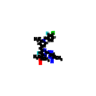 Cc1cc(Nc2nc(C[C@@H]3CCN(Cc4cccc(Cl)c4F)[C@H](C)C3)c(F)c(C(C)(C)O)n2)n[nH]1